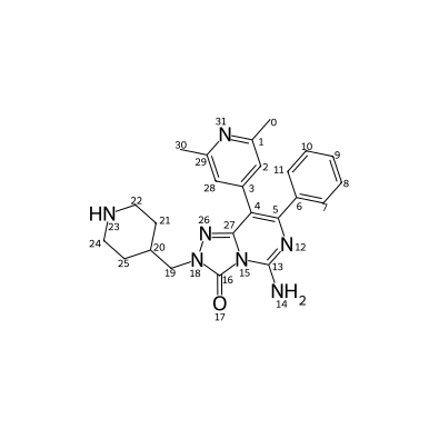 Cc1cc(-c2c(-c3ccccc3)nc(N)n3c(=O)n(CC4CCNCC4)nc23)cc(C)n1